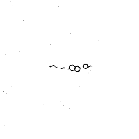 C#CCCOCCOC1CCc2cc([C@H]3CC[C@](N)(CO)C3)ccc2C1